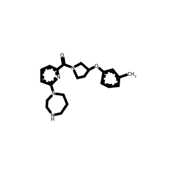 Cc1cccc(OC2CCN(C(=O)c3cccc(N4CCCNCC4)n3)C2)c1